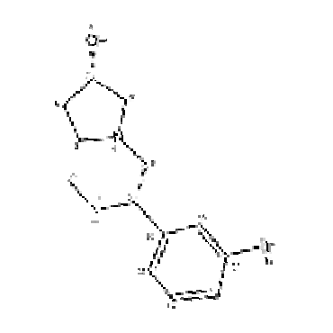 CN[C@H](CN1CC[C@H](O)C1)c1cccc(Br)c1